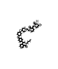 CCCCn1cc(-c2ccc(OC3CCC(OC4CCN(CCn5cccc(Cn6ccc(=O)[nH]c6=O)c5=O)CC4)CC3)cc2)c2ccncc2c1=O